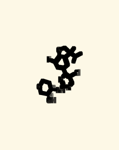 CC(C)C1(C)COc2c(F)cc(-c3nc(N[C@@H]4CCOC[C@H]4O)ncc3Cl)cc21